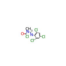 CN(C=Nc1c(Cl)cc(Cl)cc1Cl)C(=O)Cl